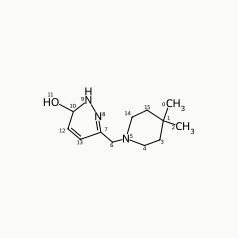 CC1(C)CCN(CC2=NNC(O)C=C2)CC1